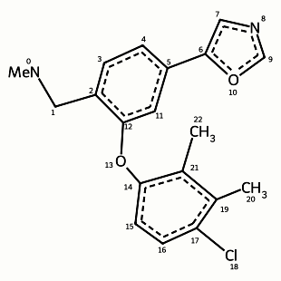 CNCc1ccc(-c2cnco2)cc1Oc1ccc(Cl)c(C)c1C